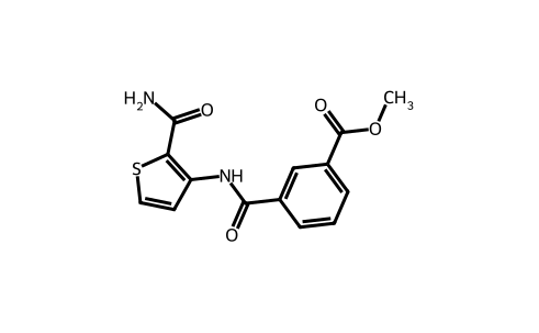 COC(=O)c1cccc(C(=O)Nc2ccsc2C(N)=O)c1